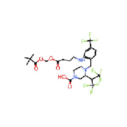 CC(C)(C)C(=O)OCOC(=O)CCCNc1cc(C(F)(F)F)ccc1CN1CCN(C(=O)O)CC1C(C(F)(F)F)C(F)(F)F